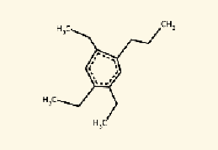 CCCc1cc(CC)c(CC)cc1CC